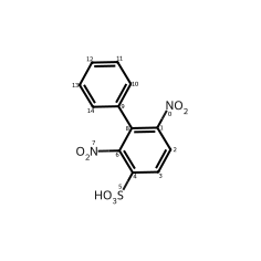 O=[N+]([O-])c1ccc(S(=O)(=O)O)c([N+](=O)[O-])c1-c1ccccc1